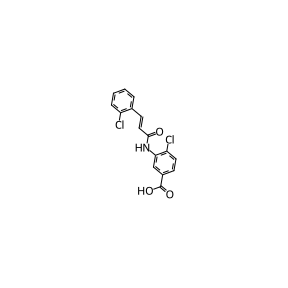 O=C(C=Cc1ccccc1Cl)Nc1cc(C(=O)O)ccc1Cl